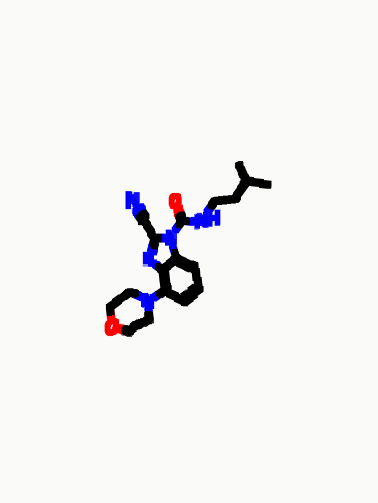 CC(C)CCNC(=O)n1c(C#N)nc2c(N3CCOCC3)cccc21